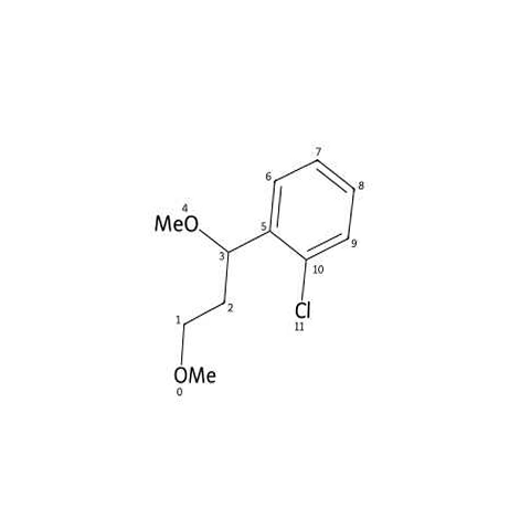 COCCC(OC)c1ccccc1Cl